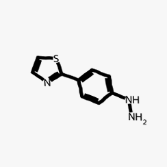 NNc1ccc(-c2nccs2)cc1